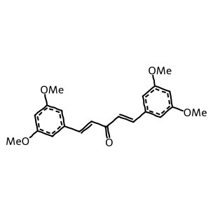 COc1cc(C=CC(=O)C=Cc2cc(OC)cc(OC)c2)cc(OC)c1